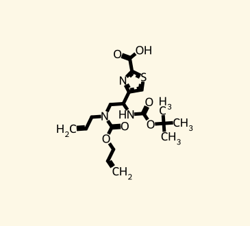 C=CCOC(=O)N(CC=C)CC(NC(=O)OC(C)(C)C)c1csc(C(=O)O)n1